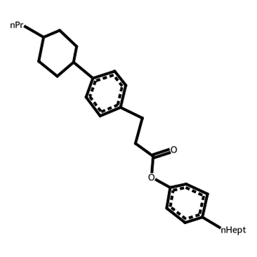 CCCCCCCc1ccc(OC(=O)CCc2ccc(C3CCC(CCC)CC3)cc2)cc1